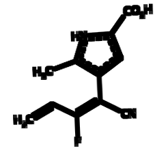 C=C/C(F)=C(/C#N)c1cc(C(=O)O)[nH]c1C